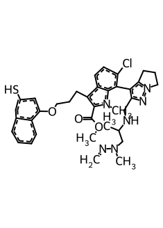 C=NN(C)CC(C)NCc1nn2c(c1-c1c(Cl)ccc3c(CCCOc4cc(S)cc5ccccc45)c(C(=O)OC)n(C)c13)CCC2